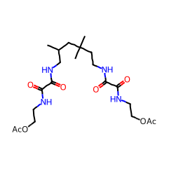 CC(=O)OCCNC(=O)C(=O)NCCC(C)(C)CC(C)CNC(=O)C(=O)NCCOC(C)=O